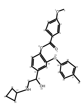 COc1ccc(C(=O)Oc2ccc(C(O)CNC3CCC3)cc2Oc2ccc(C)cc2)cc1